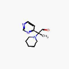 CC(C=O)(c1ccncn1)N1CCCCC1